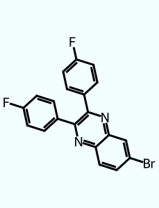 Fc1ccc(-c2nc3ccc(Br)cc3nc2-c2ccc(F)cc2)cc1